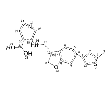 Cc1cc(-c2ccc3c(c2)OC[C@@H]3CNc2cnccc2C(O)O)cs1